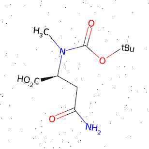 CN(C(=O)OC(C)(C)C)[C@@H](CC(N)=O)C(=O)O